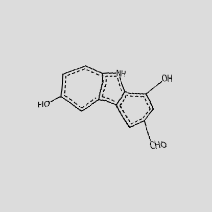 O=Cc1cc(O)c2[nH]c3ccc(O)cc3c2c1